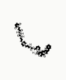 CC[C@@]1(OC2CCCC(COC(=O)NCCCN3CCN(CCCNC(=O)NNC(=O)CCN4C(=O)C=CC4=O)CC3)O2)C(=O)OCc2c1cc1n(c2=O)Cc2cc3ccccc3nc2-1